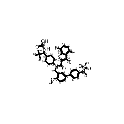 COc1ccc(-c2ccc(N(C)S(C)(=O)=O)cc2)cc1CN(C(=O)c1sc2c(F)ccc(F)c2c1Cl)C1CCC(C(NC(=O)O)C(C)(C)C)CC1